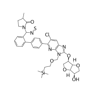 CC1CCN(C(N=S)c2ccccc2-c2ccc(-c3nc4c(cc3Cl)nc(O[C@@H]3CO[C@H]5[C@@H]3OC[C@H]5O)n4COCC[Si](C)(C)C)cc2)C1=O